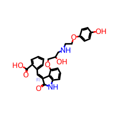 O=C1Nc2cccc(OCC(O)CNCCOc3ccc(O)cc3)c2/C1=C\c1ccccc1C(=O)O